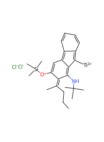 CCCC(C)=c1c(O[Si](C)(C)C)cc2c(c1NC(C)(C)C)[C]([Ti+2])=c1ccccc1=2.[Cl-].[Cl-]